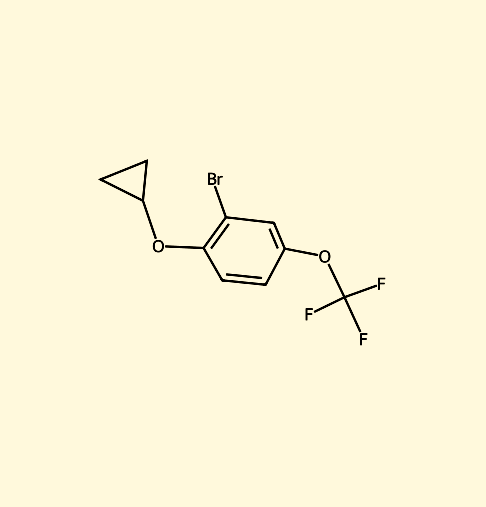 FC(F)(F)Oc1ccc(OC2CC2)c(Br)c1